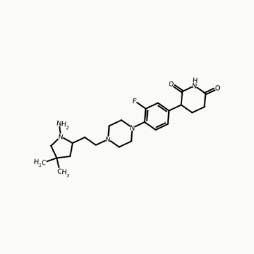 CC1(C)CC(CCN2CCN(c3ccc(C4CCC(=O)NC4=O)cc3F)CC2)N(N)C1